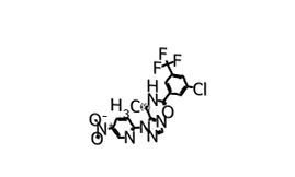 C[C@H](NC(=O)c1cc(Cl)cc(C(F)(F)F)c1)c1ncnn1-c1ccc([N+](=O)[O-])cn1